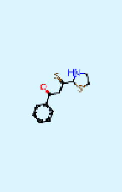 O=C(CC(=S)C1NCCS1)c1ccccc1